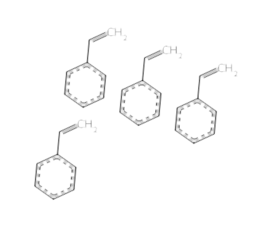 C=Cc1ccccc1.C=Cc1ccccc1.C=Cc1ccccc1.C=Cc1ccccc1